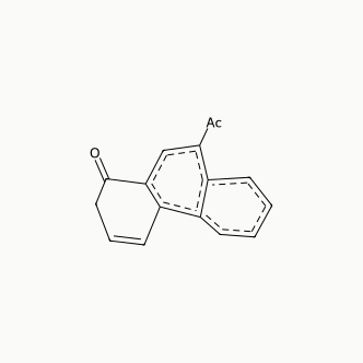 CC(=O)c1cc2c(c3ccccc13)C=CCC2=O